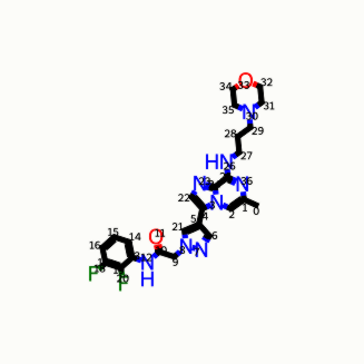 Cc1cn2c(-c3cnn(CC(=O)Nc4cccc(F)c4F)c3)cnc2c(NCCCN2CCOCC2)n1